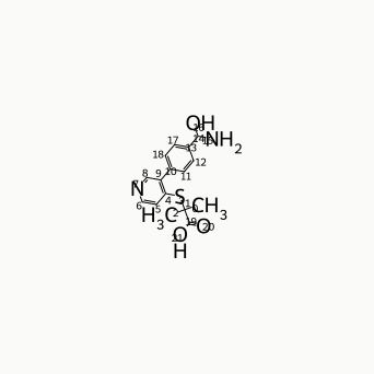 CC(C)(Sc1ccncc1-c1ccc(C(N)O)cc1)C(=O)O